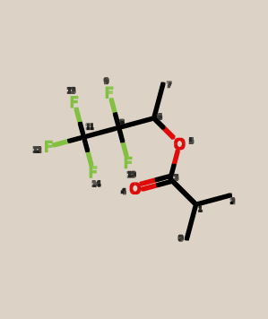 CC(C)C(=O)OC(C)C(F)(F)C(F)(F)F